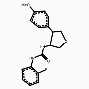 COc1ccc(C2COCC2NC(=O)Nc2ccccc2F)cc1